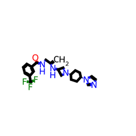 C=C(CNC(=O)c1cccc(C(F)(F)F)c1)NC1CN([C@H]2CC[C@@H](n3ccnc3)CC2)C1